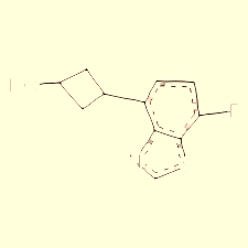 OC1CC(c2ccc(F)c3scnc23)C1